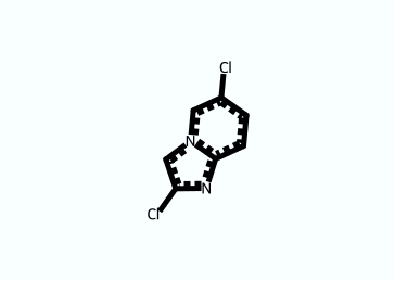 Clc1ccc2nc(Cl)cn2c1